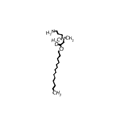 CCCCCCCCCCCCCCOC(=O)C[N+](C)(C)CCCN